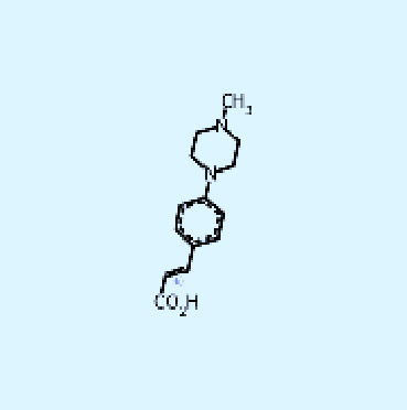 CN1CCN(c2ccc(/C=C/C(=O)O)cc2)CC1